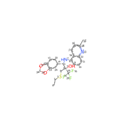 CCSCC(O)(C(Nc1cccc2nc(C)ccc12)c1ccc2c(c1)OCO2)C(F)(F)F